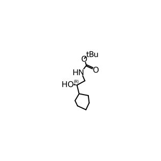 CC(C)(C)OC(=O)NC[C@H](O)C1CCCCC1